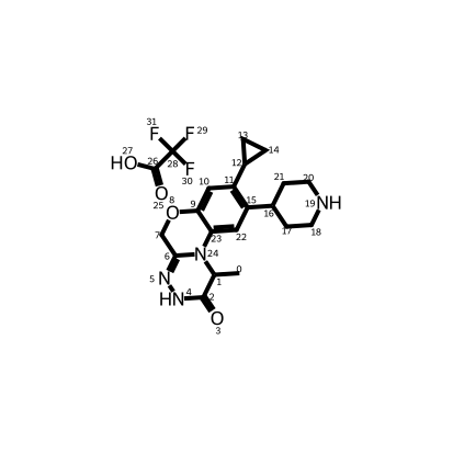 CC1C(=O)NN=C2COc3cc(C4CC4)c(C4CCNCC4)cc3N21.O=C(O)C(F)(F)F